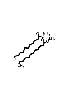 CCCCCCCCCCCC(=O)OC.CCCCCCCCCCCC(=O)OC